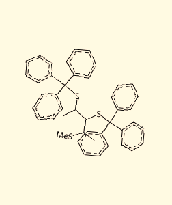 CSC(C)C(SC(c1ccccc1)(c1ccccc1)c1ccccc1)C(C)SC(c1ccccc1)(c1ccccc1)c1ccccc1